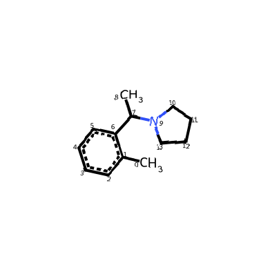 Cc1ccccc1C(C)N1CCCC1